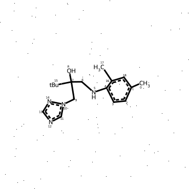 Cc1ccc(NCC(O)(Cn2cncn2)C(C)(C)C)c(C)c1